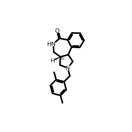 Cc1ccc(C)c(CN2CC3c4ccccc4C(=O)NC[C@H]3C2)c1